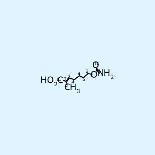 CC(=CCCCCOC(N)=O)C(=O)O